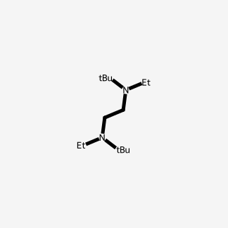 CCN(CCN(CC)C(C)(C)C)C(C)(C)C